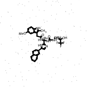 CCCC[C@](NC(=O)Cc1c(C)[nH]c2ccc(OC)cc12)(NC(=O)NOC)c1ncc(-c2ccc3ccccc3c2)[nH]1.O=C(O)C(F)(F)F